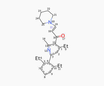 CCc1cc(-c2c(CC)cccc2CC)nc(C)c1C(=O)/C=C/N1CCCCC1